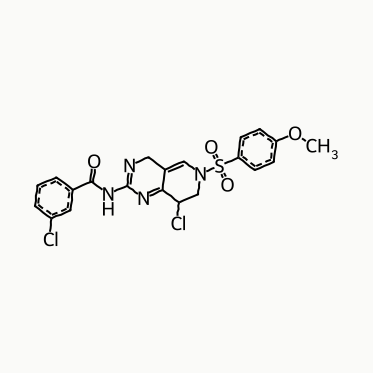 COc1ccc(S(=O)(=O)N2C=C3CN=C(NC(=O)c4cccc(Cl)c4)N=C3C(Cl)C2)cc1